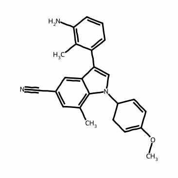 COC1=CCC(n2cc(-c3cccc(N)c3C)c3cc(C#N)cc(C)c32)C=C1